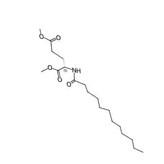 CCCCCCCCCCCC(=O)N[C@@H](CCC(=O)OC)C(=O)OC